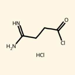 Cl.N=C(N)CCC(=O)Cl